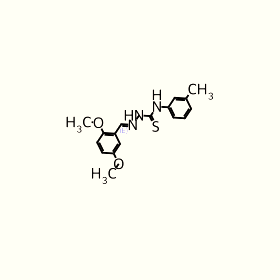 COc1ccc(OC)c(/C=N/NC(=S)Nc2cccc(C)c2)c1